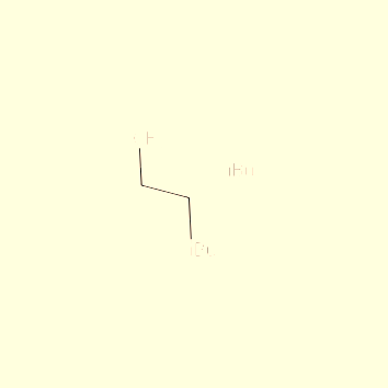 CCC(C)C(CC(F)(F)F)[C@@H](C)CC